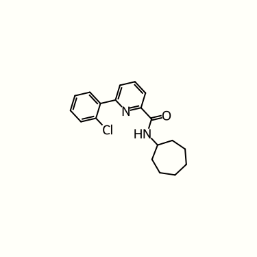 O=C(NC1CCCCCC1)c1cccc(-c2ccccc2Cl)n1